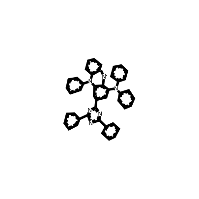 CN(C)c1c(N(c2ccccc2)c2ccccc2)cc(-c2nc(-c3ccccc3)nc(-c3ccccc3)n2)cc1N(c1ccccc1)c1ccccc1